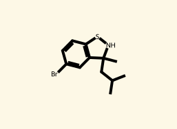 CC(C)CC1(C)NSc2ccc(Br)cc21